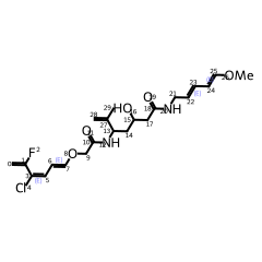 C=C(F)/C(Cl)=C\C=C\OCC(=O)NC(CC(O)CC(=O)NC/C=C/C=C/OC)C(=C)C